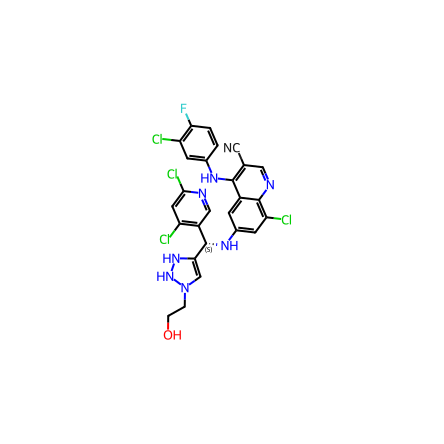 N#Cc1cnc2c(Cl)cc(N[C@H](C3=CN(CCO)NN3)c3cnc(Cl)cc3Cl)cc2c1Nc1ccc(F)c(Cl)c1